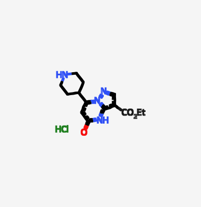 CCOC(=O)c1cnn2c(C3CCNCC3)cc(=O)[nH]c12.Cl